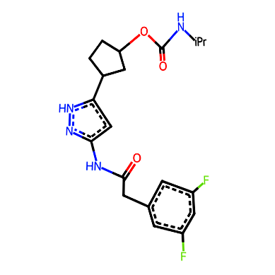 CC(C)NC(=O)OC1CCC(c2cc(NC(=O)Cc3cc(F)cc(F)c3)n[nH]2)C1